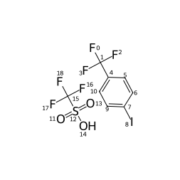 FC(F)(F)c1ccc(I)cc1.O=S(=O)(O)C(F)(F)F